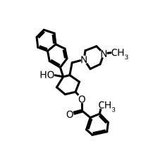 Cc1ccccc1C(=O)OC1CCC(O)(c2ccc3ccccc3c2)C(CN2CCN(C)CC2)C1